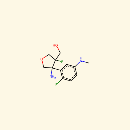 CNc1ccc(F)c(C2(N)COCC2(F)CO)c1